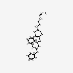 C=COCCOC1CCC(OCCN(Cc2ccccc2)Cc2ccccc2)CC1